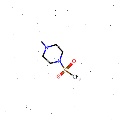 CN1CCN(S(=O)(=O)C(F)(F)F)CC1